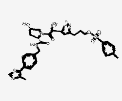 Cc1ccc(S(=O)(=O)OCCCc2cc(C(C(=O)N3C[C@H](O)C[C@H]3C(=O)NCc3ccc(-c4scnc4C)cc3)C(C)C)on2)cc1